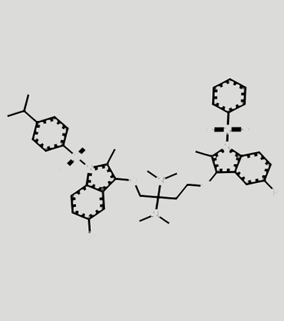 Cc1c(OCCC(COc2c(C)n(S(=O)(=O)c3ccc(C(C)C)cc3)c3ccc(Br)cc23)(N(C)C)N(C)C)c2cc(Br)ccc2n1S(=O)(=O)c1ccccc1